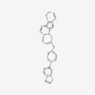 C1=Cc2sc3c(c2CC1)C=CC1=CC=C(Cc2ccc(-c4ccc5c(c4)CN=C5)cc2)CC13